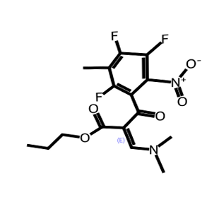 CCCOC(=O)/C(=C/N(C)C)C(=O)c1c(F)c(C)c(F)c(F)c1[N+](=O)[O-]